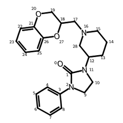 O=C1N(c2ccccc2)CCN1C1CCCN(CC2COc3ccccc3O2)C1